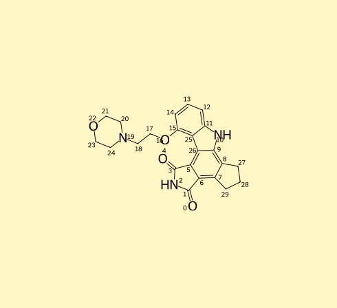 O=C1NC(=O)c2c1c1c(c3[nH]c4cccc(OCCN5CCOCC5)c4c23)CCC1